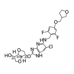 O[C@@H]1CO[C@H]2[C@@H]1OC[C@H]2Oc1nc2nc(NCc3c(F)cc(OCC4CCOC4)cc3F)c(Cl)cc2[nH]1